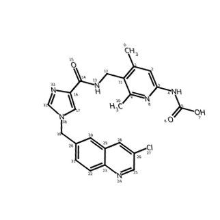 Cc1cc(NC(=O)O)nc(C)c1CNC(=O)c1cn(Cc2ccc3ncc(Cl)cc3c2)cn1